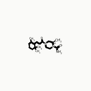 CC1=C(C=CC(=O)N2CCN(C(N)=O)[C@H](C)C2)C(C)(C)CCC1